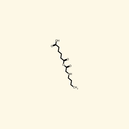 CCCCNCC(=O)OC(=O)CCCCC(=O)O